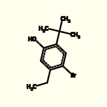 CCc1cc(O)c(C(C)(C)C)cc1Br